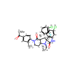 COC(=O)c1ccc(N2CC[C@H]3[C@@H](C2=O)[C@H](c2cccc(Cl)c2F)[C@]2(C(=O)Nc4cc(Cl)ccc42)N3CC(C)C)c([N+](=O)[O-])c1